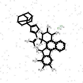 C[C](C)=[Zr+2]([C]1=CC(C23CC4CC(CC(C4)C2)C3)=CC1)[C]1(C)c2c3c(c4ccccc4c2C(C)C(C)C1C)-c1cc(C)c(C)c(C)c1C3C.[Cl-].[Cl-]